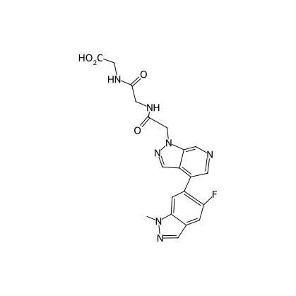 Cn1ncc2cc(F)c(-c3cncc4c3cnn4CC(=O)NCC(=O)NCC(=O)O)cc21